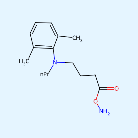 CCCN(CCCC(=O)ON)c1c(C)cccc1C